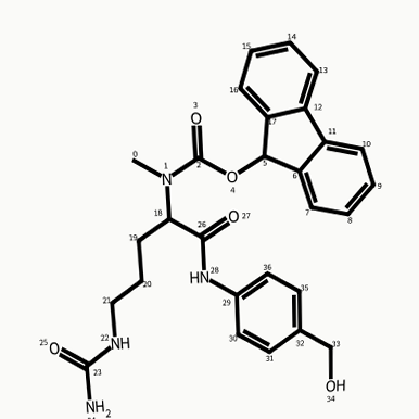 CN(C(=O)OC1c2ccccc2-c2ccccc21)C(CCCNC(N)=O)C(=O)Nc1ccc(CO)cc1